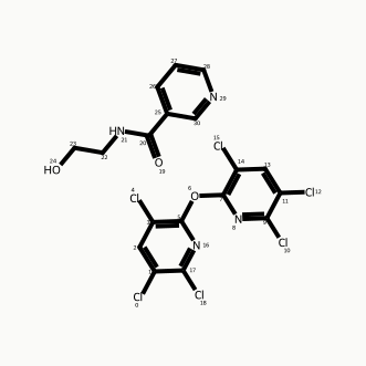 Clc1cc(Cl)c(Oc2nc(Cl)c(Cl)cc2Cl)nc1Cl.O=C(NCCO)c1cccnc1